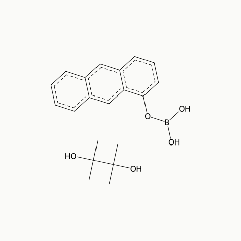 CC(C)(O)C(C)(C)O.OB(O)Oc1cccc2cc3ccccc3cc12